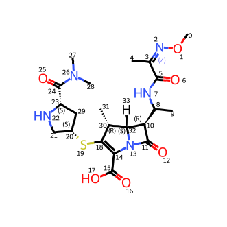 CO/N=C(/C)C(=O)NC(C)[C@H]1C(=O)N2C(C(=O)O)=C(S[C@@H]3CN[C@H](C(=O)N(C)C)C3)[C@H](C)[C@H]12